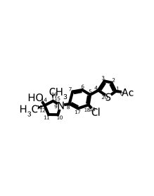 CC(=O)c1ccc(-c2ccc(N3CC[C@](C)(O)[C@@H]3C)cc2Cl)s1